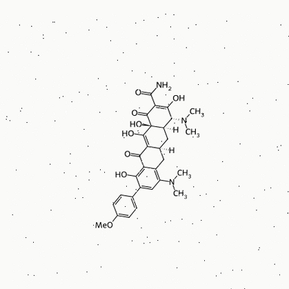 COc1ccc(-c2cc(N(C)C)c3c(c2O)C(=O)C2=C(O)[C@]4(O)C(=O)C(C(N)=O)=C(O)[C@H](N(C)C)[C@H]4C[C@H]2C3)cc1